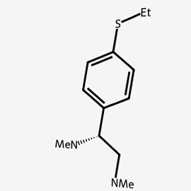 CCSc1ccc([C@H](CNC)NC)cc1